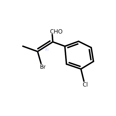 C/C(Br)=C(\C=O)c1cccc(Cl)c1